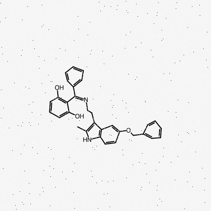 Cc1[nH]c2ccc(OCc3ccccc3)cc2c1CCN=C(c1ccccc1)c1c(O)cccc1O